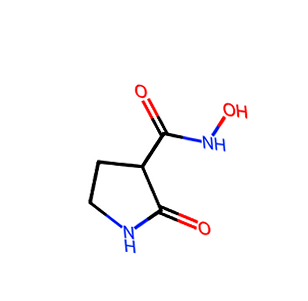 O=C(NO)C1CCNC1=O